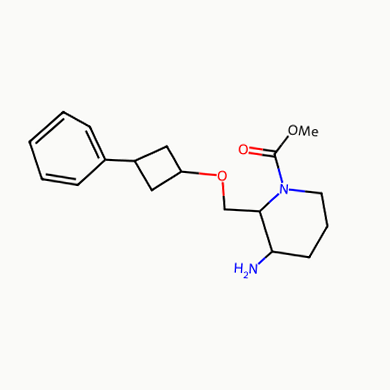 COC(=O)N1CCCC(N)C1COC1CC(c2ccccc2)C1